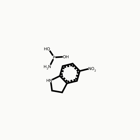 NP(O)O.O=[N+]([O-])c1ccc2c(c1)CCN2